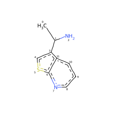 CC(N)c1csc2ncccc12